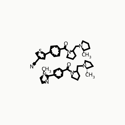 C[C@H]1CCCN1CC1CCCN1C(=O)c1ccc(-c2cc(C#N)cs2)cc1.C[C@H]1CCCN1CC1CCCN1C(=O)c1ccc(-c2nccn2C)cc1